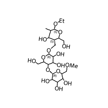 CCO[C@H]1OC(CO)[C@@H](CO[C@@H]2OC(CO)C(O[C@H]3OC(COC)C(O)C(O)C3O)C(O)C2O)C(O)C1C